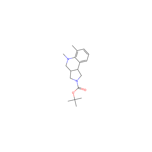 Cc1cccc2c1N(C)CC1CN(C(=O)OC(C)(C)C)CC21